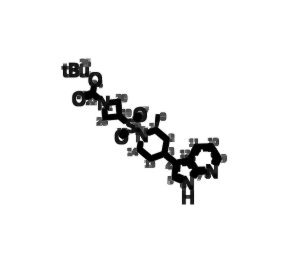 C[C@H]1CC(c2c[nH]c3ncccc23)CCN1S(=O)(=O)C1CN(C(=O)OC(C)(C)C)C1